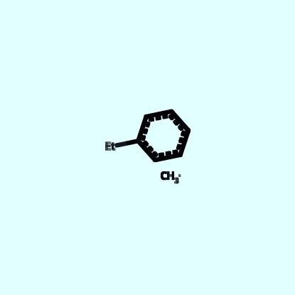 CCc1ccccc1.[CH3]